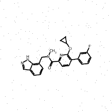 CN(Cc1cccc2cn[nH]c12)C(=O)c1ccc(-c2cccc(F)c2)c(OC2CC2)n1